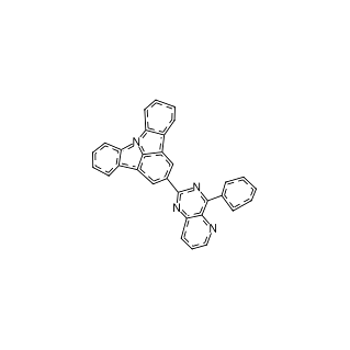 c1ccc(-c2nc(-c3cc4c5ccccc5n5c6ccccc6c(c3)c45)nc3cccnc23)cc1